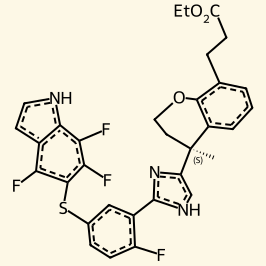 CCOC(=O)CCc1cccc2c1OCC[C@]2(C)c1c[nH]c(-c2cc(Sc3c(F)c(F)c4[nH]ccc4c3F)ccc2F)n1